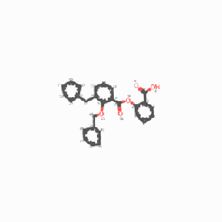 O=C(O)c1ccccc1OC(=O)c1cccc(Cc2ccccc2)c1OCc1ccccc1